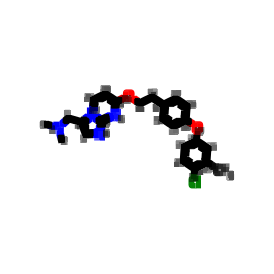 CN(C)Cc1cnc2nc(OCCc3ccc(Oc4ccc(Cl)c(C(F)(F)F)c4)cc3)ccn12